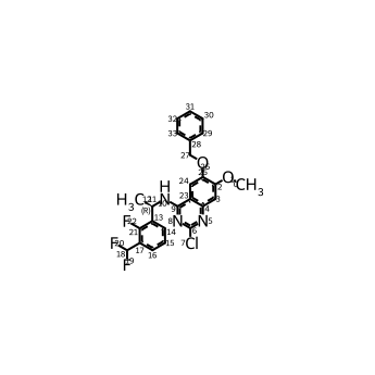 COc1cc2nc(Cl)nc(N[C@H](C)c3cccc(C(F)F)c3F)c2cc1OCc1ccccc1